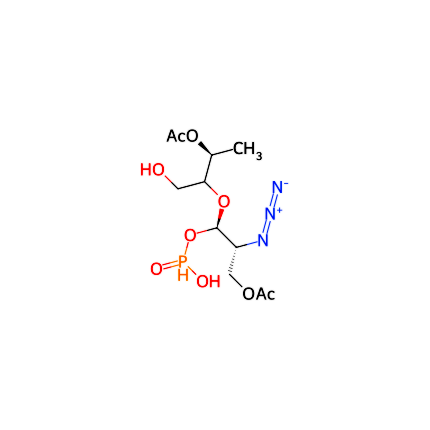 CC(=O)OC[C@@H](N=[N+]=[N-])[C@H](OC(CO)[C@H](C)OC(C)=O)O[PH](=O)O